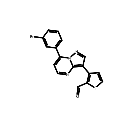 O=Cc1sccc1-c1cnn2c(-c3cccc(Br)c3)ccnc12